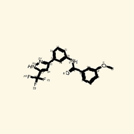 COc1cccc(C(=O)Nc2cccc(-c3cc(C(F)(F)F)[nH]n3)c2)c1